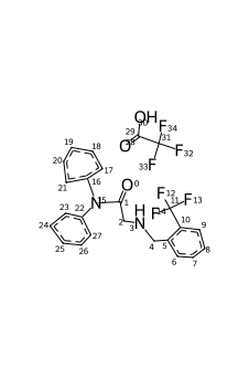 O=C(CNCc1ccccc1C(F)(F)F)N(c1ccccc1)c1ccccc1.O=C(O)C(F)(F)F